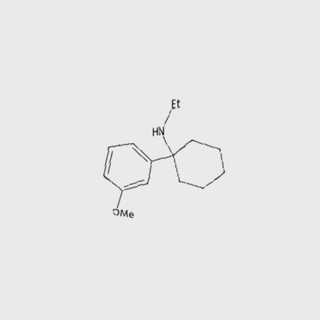 CCNC1(c2cccc(OC)c2)CCCCC1